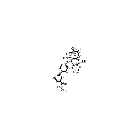 CC[C@H]1O[C@H](Oc2ccc(-c3cccc(C(=O)NC)c3)cc2C)[C@@](CO)(OC(C)=O)[C@@H](OC(C)=O)[C@@H]1C